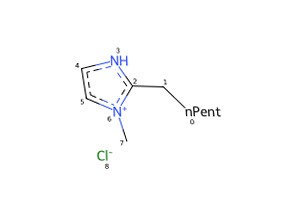 CCCCCCc1[nH]cc[n+]1C.[Cl-]